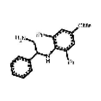 COc1cc(C(C)C)c(NC(CN)c2ccccc2)c(C(C)C)c1